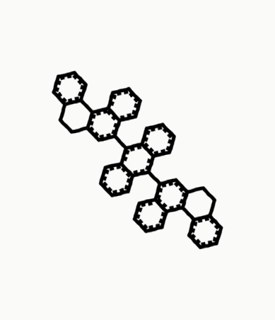 c1ccc2c(c1)CCc1cc(-c3c4ccccc4c(-c4cc5c(c6ccccc46)-c4ccccc4CC5)c4ccccc34)c3ccccc3c1-2